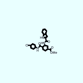 COC(=O)c1ccc(C(=O)Nc2ccc(Cl)cc2)c(NC(=O)c2cc3ccccc3[nH]2)c1